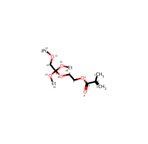 C=C(C)C(=O)OCCOC(COC(C)C)(OCC)OCC